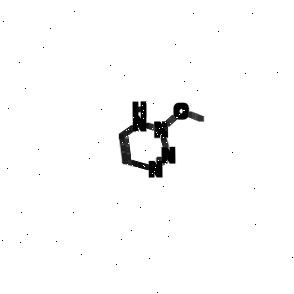 CON1N=NC=CN1